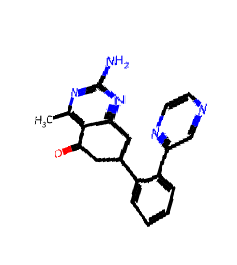 Cc1nc(N)nc2c1C(=O)CC(c1ccccc1-c1cnccn1)C2